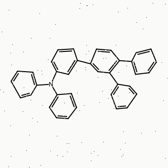 c1ccc(-c2ccc(-c3cccc(N(c4ccccc4)c4ccccc4)c3)cc2-c2ccccc2)cc1